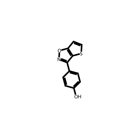 Oc1ccc(-c2noc3ccsc23)cc1